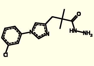 CC(C)(Cc1cn(-c2cccc(Cl)c2)cn1)C(=O)NN